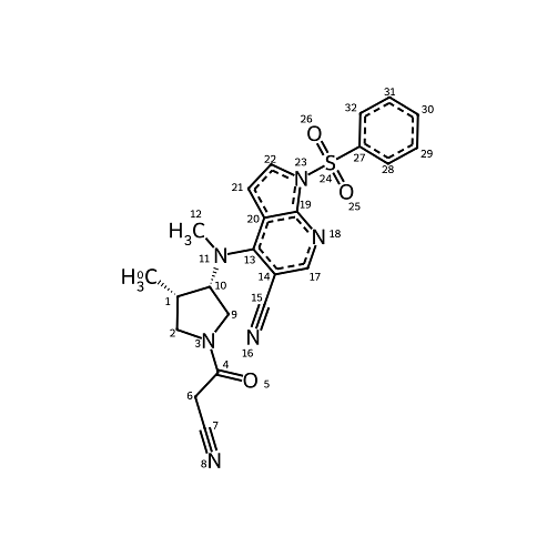 C[C@H]1CN(C(=O)CC#N)C[C@H]1N(C)c1c(C#N)cnc2c1ccn2S(=O)(=O)c1ccccc1